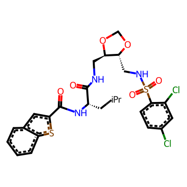 CC(C)C[C@H](NC(=O)c1cc2ccccc2s1)C(=O)NC[C@H]1OCO[C@@H]1CNS(=O)(=O)c1ccc(Cl)cc1Cl